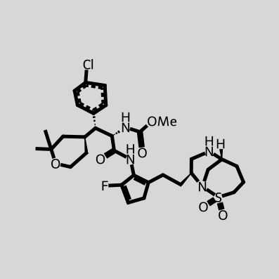 COC(=O)N[C@H](C(=O)NC1=C(CC[C@H]2CN[C@@H]3CCCS(=O)(=O)N2C3)CC=C1F)[C@@H](c1ccc(Cl)cc1)[C@H]1CCOC(C)(C)C1